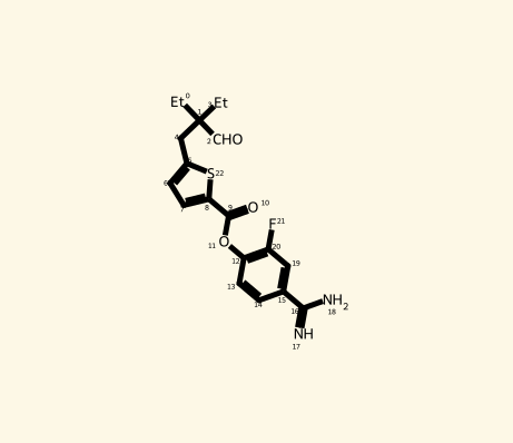 CCC(C=O)(CC)Cc1ccc(C(=O)Oc2ccc(C(=N)N)cc2F)s1